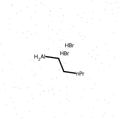 Br.Br.CCCC[CH2][AlH2]